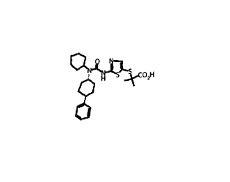 CC(C)(Sc1cnc(NC(=O)N(C2CCCCC2)[C@H]2CC[C@H](c3ccccc3)CC2)s1)C(=O)O